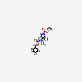 CC[C@]1(C)CN(C(=O)OC(C)(C)C)C[C@H]1CNC(=O)OCc1ccccc1